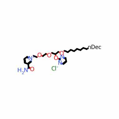 CCCCCCCCCCCCCCCCCCOCC(COCCOCC[n+]1cccc(C(N)=O)c1)Oc1ncccn1.[Cl-]